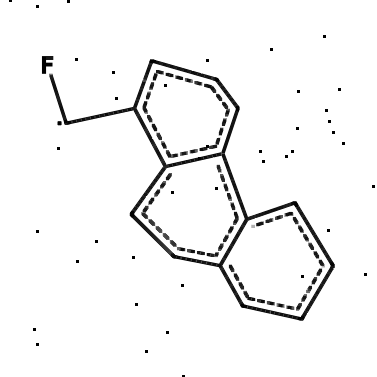 F[CH]c1cccc2c1ccc1ccccc12